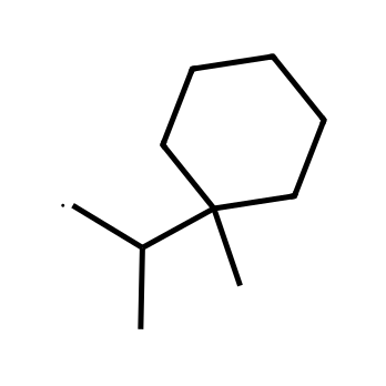 [CH2]C(C)C1(C)CCCCC1